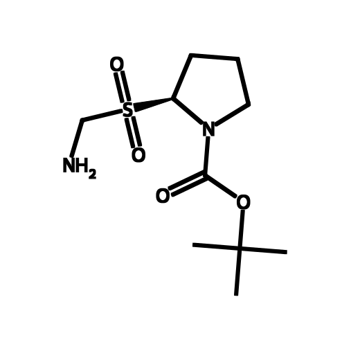 CC(C)(C)OC(=O)N1CCC[C@@H]1S(=O)(=O)CN